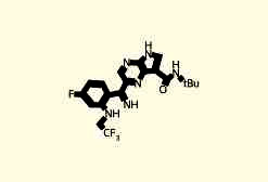 CC(C)(C)NC(=O)c1c[nH]c2ncc(C(=N)c3ccc(F)cc3NCC(F)(F)F)nc12